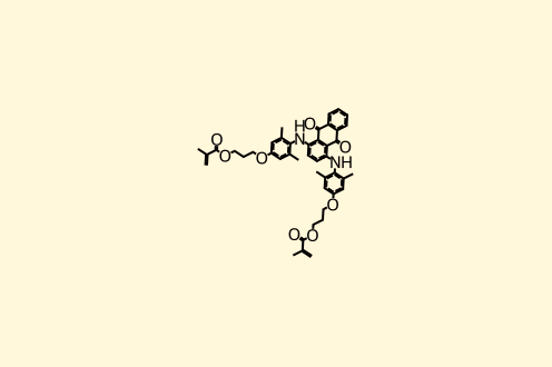 C=C(C)C(=O)OCCCOc1cc(C)c(Nc2ccc(Nc3c(C)cc(OCCCOC(=O)C(=C)C)cc3C)c3c2C(=O)c2ccccc2C3=O)c(C)c1